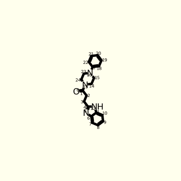 O=C(CCc1nc2ccccc2[nH]1)N1CCN(c2ccccc2)CC1